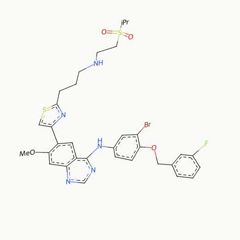 COc1cc2ncnc(Nc3ccc(OCc4cccc(F)c4)c(Br)c3)c2cc1-c1csc(CCCNCCS(=O)(=O)C(C)C)n1